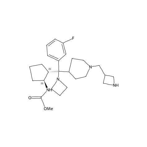 COC(=O)N[C@H]1CCC[C@@H]1C(c1cccc(F)c1)(C1CCN(CC2CNC2)CC1)N1CCC1